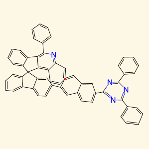 c1ccc(-c2nc(-c3ccccc3)nc(-c3ccc4cc(-c5ccc6c(c5)C5(c7ccccc7-6)c6ccccc6-c6c(-c7ccccc7)nc7ccccc7c65)ccc4c3)n2)cc1